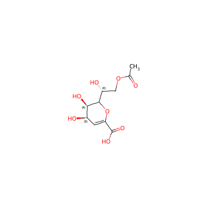 CC(=O)OC[C@@H](O)C1OC(C(=O)O)=C[C@@H](O)[C@H]1O